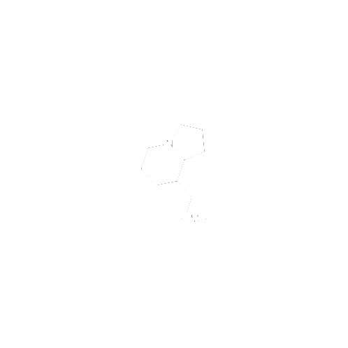 COCC1CCCN2CCCC12